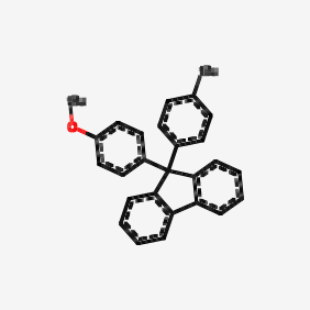 CC(C)(C)Oc1ccc(C2(c3ccc(C(C)(C)C)cc3)c3ccccc3-c3ccccc32)cc1